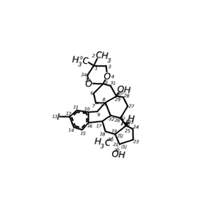 CC1(C)COC2(CC[C@@]34Cc5cc(I)ccc5C5C[C@]6(C)[C@@H](O)CC[C@H]6[C@H](CC[C@@]3(O)C2)C54)OC1